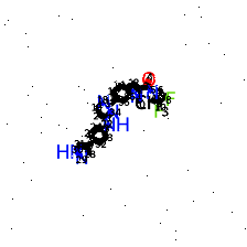 Cn1c(C(=O)N2CC(F)C(F)C2)cc2ccc(C3=NCCC(NC4C=CC(c5cn[nH]c5)=CC4)=N3)cc21